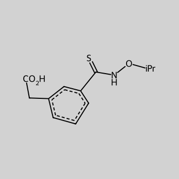 CC(C)ONC(=S)c1cccc(CC(=O)O)c1